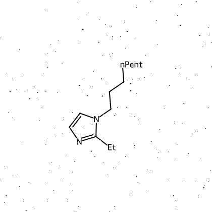 CCCCCCCCn1ccnc1CC